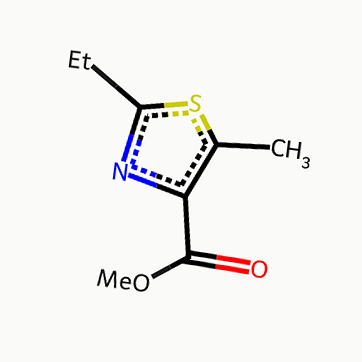 CCc1nc(C(=O)OC)c(C)s1